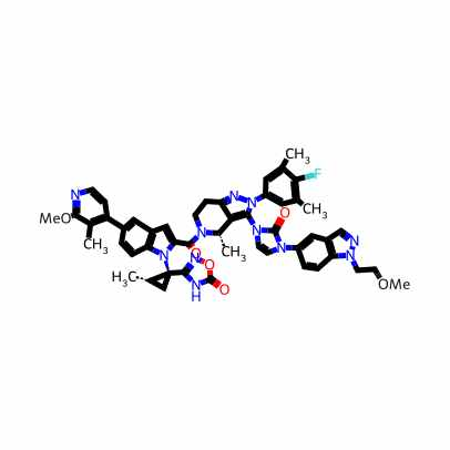 COCCn1ncc2cc(-n3ccn(-c4c5c(nn4-c4cc(C)c(F)c(C)c4)CCN(C(=O)c4cc6cc(-c7ccnc(OC)c7C)ccc6n4[C@@]4(c6noc(=O)[nH]6)C[C@@H]4C)[C@H]5C)c3=O)ccc21